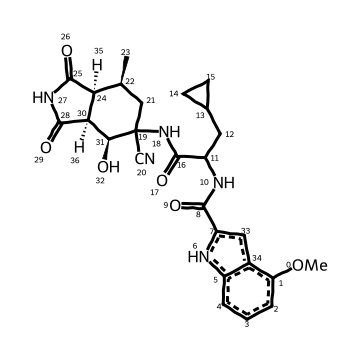 COc1cccc2[nH]c(C(=O)NC(CC3CC3)C(=O)NC3(C#N)C[C@H](C)[C@@H]4C(=O)NC(=O)[C@@H]4[C@@H]3O)cc12